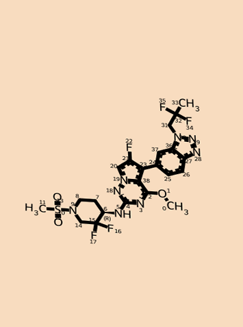 COc1nc(N[C@@H]2CCN(S(C)(=O)=O)CC2(F)F)nn2cc(F)c(-c3ccc4nnn(CC(C)(F)F)c4c3)c12